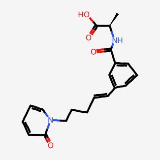 C[C@@H](NC(=O)c1cccc(C=CCCCn2ccccc2=O)c1)C(=O)O